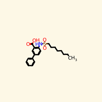 CCCCCCCCS(=O)(=O)Nc1ccc(-c2ccccc2)cc1C(=O)O